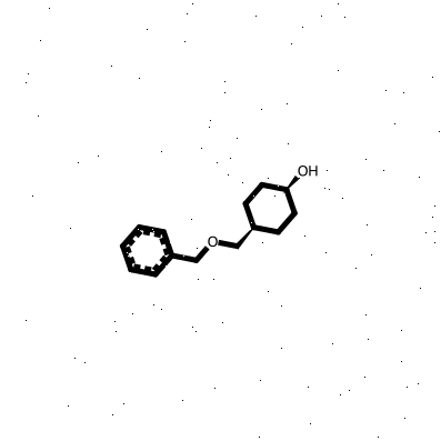 O[C@H]1CC[C@@H](COCc2ccccc2)CC1